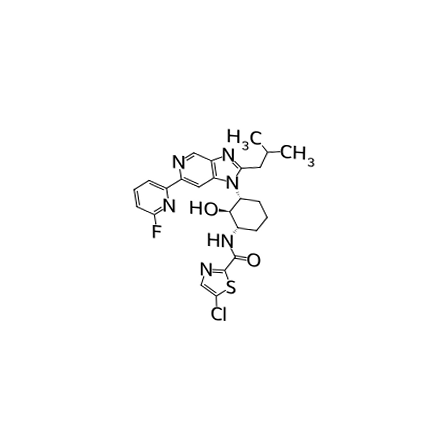 CC(C)Cc1nc2cnc(-c3cccc(F)n3)cc2n1[C@@H]1CCC[C@H](NC(=O)c2ncc(Cl)s2)[C@H]1O